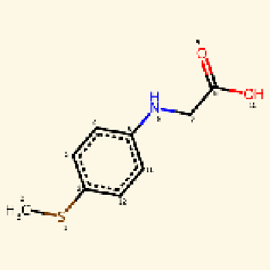 CSc1ccc(NCC(=O)O)cc1